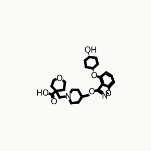 O=C(O)C1(CN2CCC(COc3noc4cccc(O[C@H]5CC[C@@H](O)CC5)c34)CC2)CCOCC1